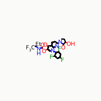 CC[C@@H](NC(=O)Oc1cn(-c2c(F)cc(F)cc2F)c2nc(N3CCC(O)C3=O)ccc2c1=O)C(F)(F)F